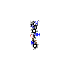 CN1C[C@@H]2CCN(c3ccc(NC(=O)CSc4nc5ccccc5s4)cc3)[C@@H]2C1